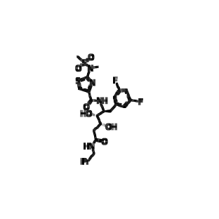 CC(C)CNC(=O)C[C@@H](O)[C@H](O)[C@H](Cc1cc(F)cc(F)c1)NC(=O)c1csc(N(C)S(C)(=O)=O)n1